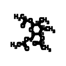 CC(=O)OCC1OC(OC(C)=O)C(C)C(C)C1OC(C)=O